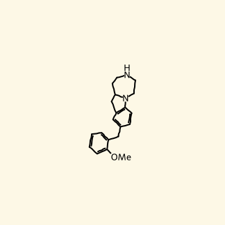 COc1ccccc1Cc1ccc2c(c1)CC1CCNCCN21